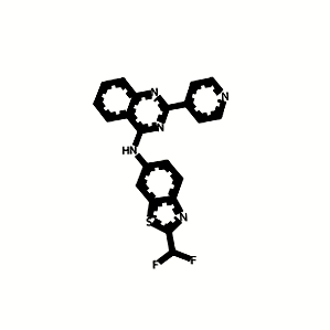 FC(F)c1nc2ccc(Nc3nc(-c4ccncc4)nc4ccccc34)cc2s1